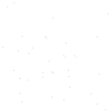 N#CCC#N.c1ccc2nccnc2c1